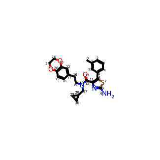 Cc1cccc(-c2sc(N)nc2C(=O)N(CCc2ccc3c(c2)OCCO3)CC2CC2)c1